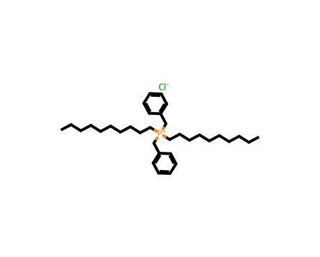 CCCCCCCCCC[P+](CCCCCCCCCC)(Cc1ccccc1)Cc1ccccc1.[Cl-]